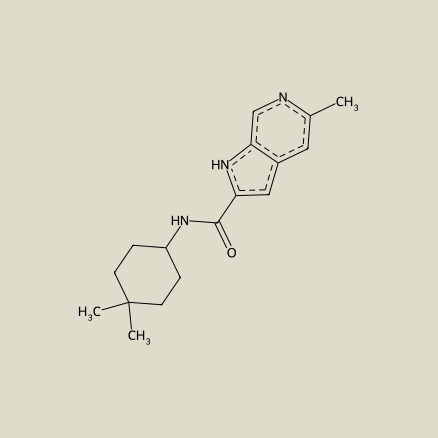 Cc1cc2cc(C(=O)NC3CCC(C)(C)CC3)[nH]c2cn1